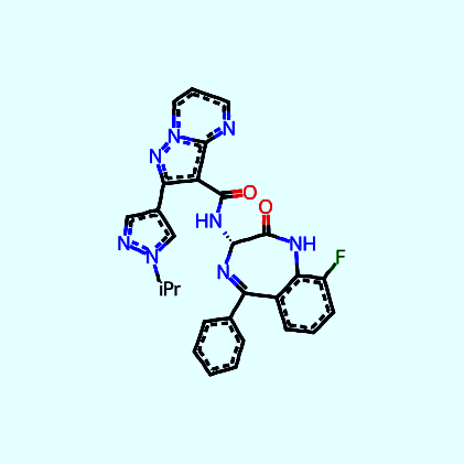 CC(C)n1cc(-c2nn3cccnc3c2C(=O)N[C@H]2N=C(c3ccccc3)c3cccc(F)c3NC2=O)cn1